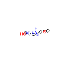 CB(O)N1CCC(c2ccc3nc(-c4ccc(COc5ccccc5)cc4)[nH]c3n2)CC1